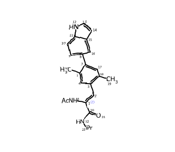 CC(=O)N/C(=C\c1cc(C)c(-c2ccc3[nH]ccc3c2)cc1C)C(=O)NC(C)C